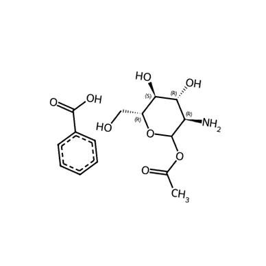 CC(=O)OC1O[C@H](CO)[C@@H](O)[C@H](O)[C@H]1N.O=C(O)c1ccccc1